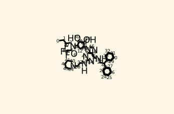 CCCCN(C(=O)C(F)(F)F)[C@H]1C[C@@H](n2cnc3c(NCC(c4ccccc4)c4ccccc4)nc(NCCN4CCCCC4)nc32)[C@H](O)[C@@H]1O